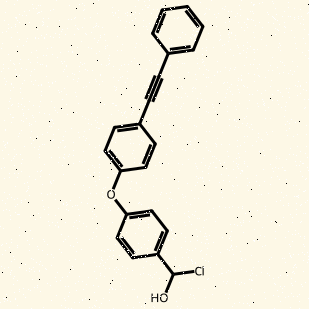 OC(Cl)c1ccc(Oc2ccc(C#Cc3ccccc3)cc2)cc1